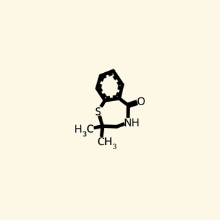 CC1(C)CNC(=O)c2ccccc2S1